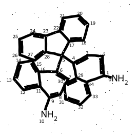 Nc1ccc(C2(c3ccc(N)c4ccccc34)c3ccccc3-c3ccccc32)c2ccccc12